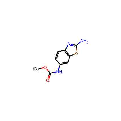 CC(C)(C)OC(=O)Nc1ccc2nc(N)sc2c1